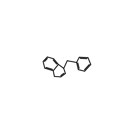 C1=CC(Cc2ccccc2)c2ccccc2C1